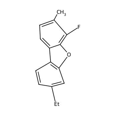 CCc1ccc2c(c1)oc1c(F)c(C)ccc12